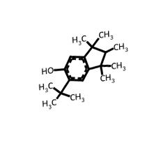 CC1C(C)(C)c2cc(O)c(C(C)(C)C)cc2C1(C)C